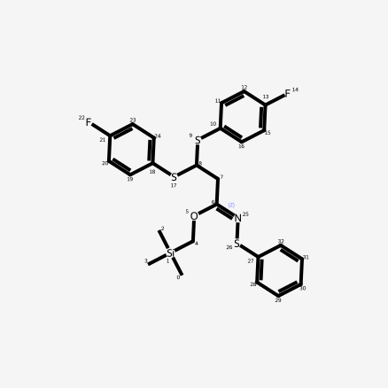 C[Si](C)(C)CO/C(CC(Sc1ccc(F)cc1)Sc1ccc(F)cc1)=N\Sc1ccccc1